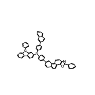 c1ccc(-c2nc3ccc4c5cc(-c6ccc(N(c7ccc(-c8ccc9ccccc9c8)cc7)c7ccc8c9ccccc9n(-c9ccccc9)c8c7)cc6)ccc5ccc4c3o2)cc1